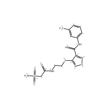 N=C(Nc1cccc(C(F)(F)F)c1)c1nonc1SCCNC(=O)CS(N)(=O)=O